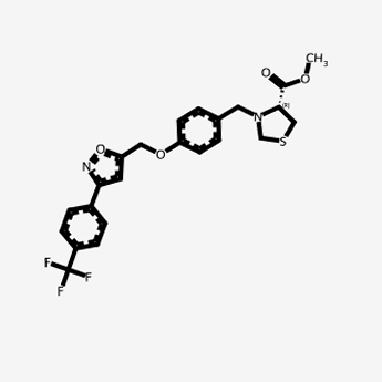 COC(=O)[C@@H]1CSCN1Cc1ccc(OCc2cc(-c3ccc(C(F)(F)F)cc3)no2)cc1